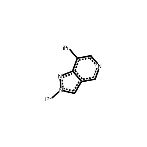 CC(C)c1cncc2cn(C(C)C)nc12